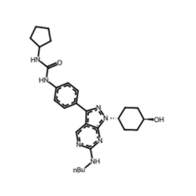 CCCCNc1ncc2c(-c3ccc(NC(=O)NC4CCCC4)cc3)nn([C@H]3CC[C@H](O)CC3)c2n1